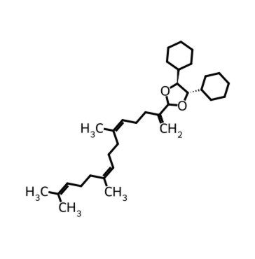 C=C(CCC=C(C)CCC=C(C)CCC=C(C)C)C1O[C@@H](C2CCCCC2)[C@H](C2CCCCC2)O1